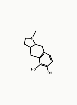 CN1CCC2Cc3c(ccc(O)c3O)CC21